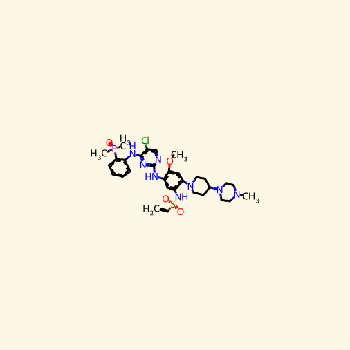 C=CS(=O)(=O)Nc1cc(Nc2ncc(Cl)c(Nc3ccccc3P(C)(C)=O)n2)c(OC)cc1N1CCC(N2CCN(C)CC2)CC1